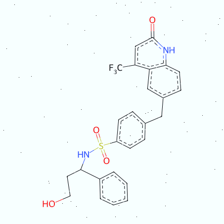 O=c1cc(C(F)(F)F)c2cc(Cc3ccc(S(=O)(=O)NC(CCO)c4ccccc4)cc3)ccc2[nH]1